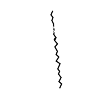 CCCCCCCC/C=C/CCCCCCCCCCCCCC